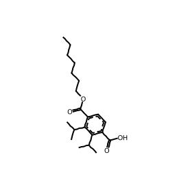 CCCCCCCOC(=O)c1ccc(C(=O)O)c(C(C)C)c1C(C)C